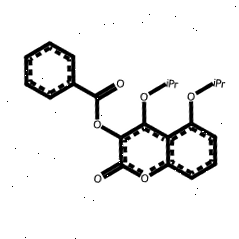 CC(C)Oc1cccc2oc(=O)c(OC(=O)c3ccccc3)c(OC(C)C)c12